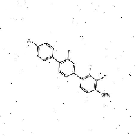 CCCc1ccc(-c2ccc(-c3ccc(OC)c(F)c3F)cc2C)cc1